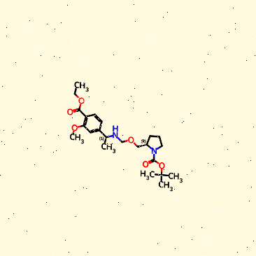 CCOC(=O)c1ccc([C@H](C)NCOC[C@H]2CCCN2C(=O)OC(C)(C)C)cc1OC